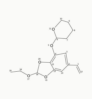 C=Cc1cc(OC2CCCCO2)c2c(c1)OC(OCC)O2